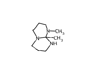 CN1CCCN2CCCNC12C